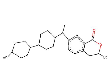 CCCC1CCC(C2CCC(C(C)c3ccc4c(c3)C(=O)OC(CC)C4)CC2)CC1